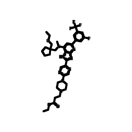 CCOCC1(CN(C)c2cc(-c3cc(F)cc(C(F)(F)F)c3)nc3nc(-c4cnc(N5CCN(CCC(=O)OCC)CC5)cn4)[nH]c23)CCCC1